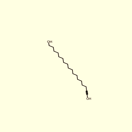 OC#CCCCCCCCCCCCCCCCCO